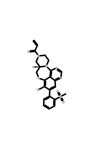 C=CC(=O)N1CCN2c3ncnc4cc(-c5ccccc5S(C)(=O)=O)c(Cl)c(c34)OC[C@@H]2C1